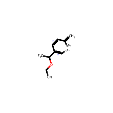 C=C(/C=C\C(=C/CCC)C(OCC#N)C(F)(F)F)CCC